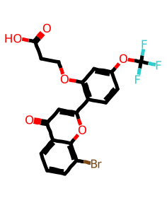 O=C(O)CCOc1cc(OC(F)(F)F)ccc1-c1cc(=O)c2cccc(Br)c2o1